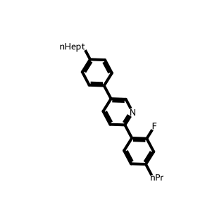 CCCCCCCc1ccc(-c2ccc(-c3ccc(CCC)cc3F)nc2)cc1